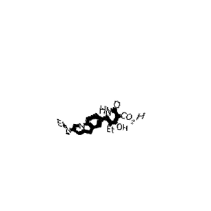 CCc1c(-c2ccc3c(c2)cc2n3CC(N(C)CC)C2)[nH]c(=O)c(C(=O)O)c1O